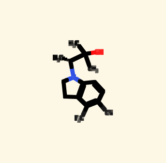 C[C@@H](N1CCc2c1ccc(C#N)c2C(F)(F)F)C(C)(C)O